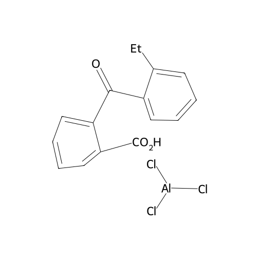 CCc1ccccc1C(=O)c1ccccc1C(=O)O.[Cl][Al]([Cl])[Cl]